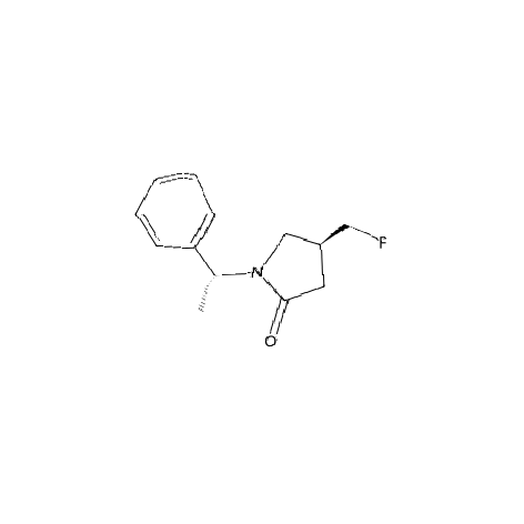 C[C@H](c1ccccc1)N1C[C@@H](CF)CC1=O